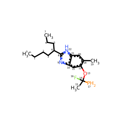 CCCCC(CCC)c1nc2cc(OC(C)(F)P)c(C)cc2[nH]1